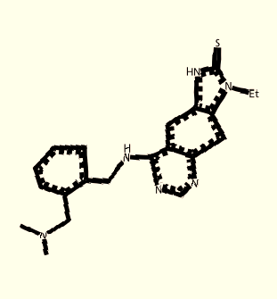 CCn1c(=S)[nH]c2cc3c(NCc4ccccc4CN(C)C)ncnc3cc21